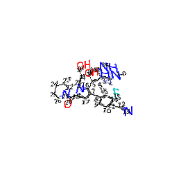 CN/C=C1/C=C(c2c(-c3ccc(C#N)c(F)c3)cc(C(=O)N3CCCCC3)n2C[C@@H](O)CO)C=CC1=N